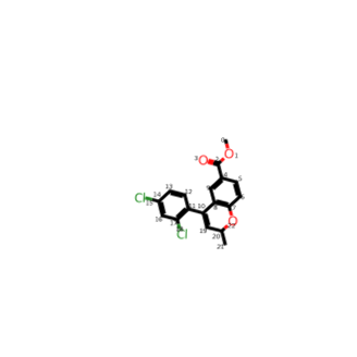 COC(=O)c1ccc2c(c1)C(c1ccc(Cl)cc1Cl)=CC(C)O2